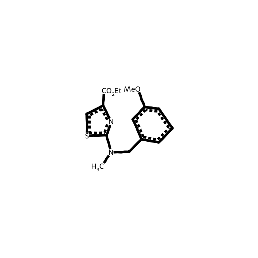 CCOC(=O)c1csc(N(C)Cc2cccc(OC)c2)n1